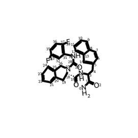 NC(=O)C(Cc1ccc2ccccc2c1)NC(=O)[C@@H]1Cc2ccccc2CN1C(=O)Nc1cc(F)ccc1F